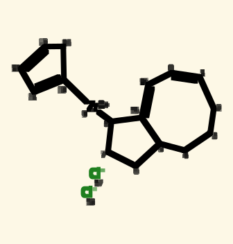 C1=CCCCC2CC[CH]([Zr+2][C]3=CC=CC3)C2=C1.[Cl-].[Cl-]